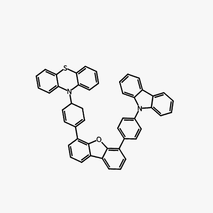 C1=CC(N2c3ccccc3Sc3ccccc32)CC=C1c1cccc2c1oc1c(-c3ccc(-n4c5ccccc5c5ccccc54)cc3)cccc12